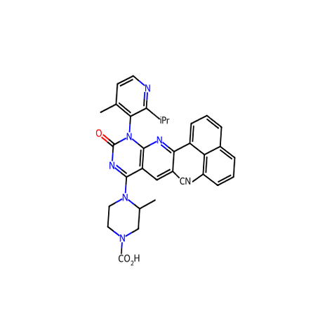 Cc1ccnc(C(C)C)c1-n1c(=O)nc(N2CCN(C(=O)O)CC2C)c2cc(C#N)c(-c3cccc4cccc(C)c34)nc21